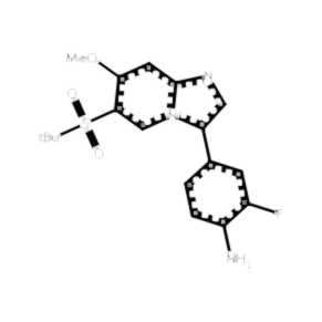 COc1cc2ncc(-c3ccc(N)c(F)c3)n2cc1S(=O)(=O)C(C)(C)C